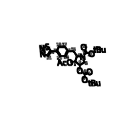 CC(=O)O[C@@H]1[C@@H](OC(=O)OC(C)(C)C)CN(C(=O)OC(C)(C)C)[C@@H]1Cc1ccc(-c2cnns2)cc1